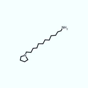 NCCCCCCCCCCCCN1CCCC1